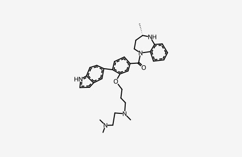 C[C@H]1CCN(C(=O)c2ccc(-c3ccc4[nH]ccc4c3)c(OCCCN(C)CCN(C)C)c2)c2ccccc2N1